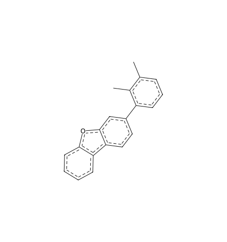 Cc1cccc(-c2ccc3c(c2)oc2ccccc23)c1C